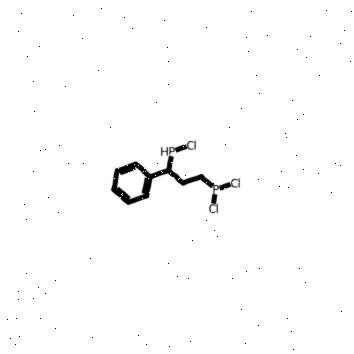 ClPC(CCP(Cl)Cl)c1ccccc1